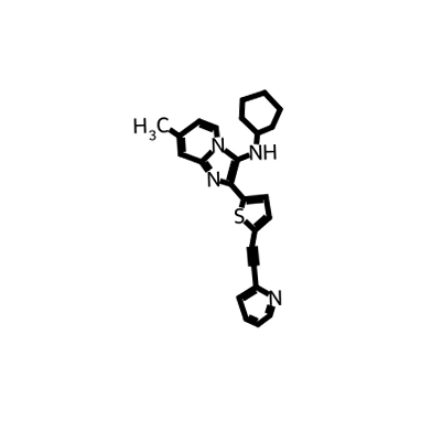 Cc1ccn2c(NC3CCCCC3)c(-c3ccc(C#Cc4ccccn4)s3)nc2c1